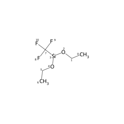 CCO[Si](OCC)C(F)(F)F